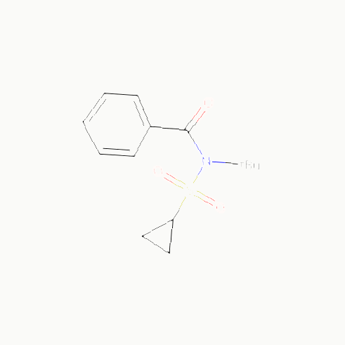 CC(C)(C)N(C(=O)c1ccccc1)S(=O)(=O)C1CC1